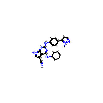 Cn1nccc1-c1ccc(Nc2nc(NC3CCCCC3)c3c(C#N)c[nH]c3n2)cc1